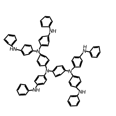 c1ccc(Nc2ccc(N(c3ccc(Nc4ccccc4)cc3)c3ccc(N(c4ccc(Nc5ccccc5)cc4)c4ccc(N(c5ccc(Nc6ccccc6)cc5)c5ccc(Nc6ccccc6)cc5)cc4)cc3)cc2)cc1